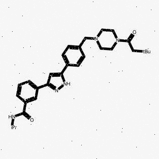 CC(C)NC(=O)c1cccc(-c2cc(-c3ccc(CN4CCN(C(=O)CC(C)(C)C)CC4)cc3)[nH]n2)c1